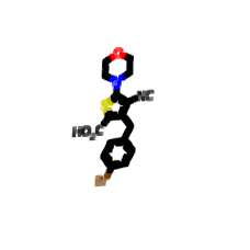 [C-]#[N+]c1c(N2CCOCC2)sc(C(=O)O)c1Cc1ccc(Br)cc1